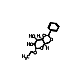 CCO[C@H]1O[C@@H]2COC(c3ccccc3)O[C@@H]2[C@H](O)[C@H]1O